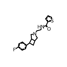 O=C(NCCN1CC2CC(c3ccc(F)cc3)C2C1)c1cccs1